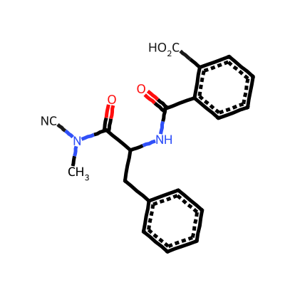 CN(C#N)C(=O)C(Cc1ccccc1)NC(=O)c1ccccc1C(=O)O